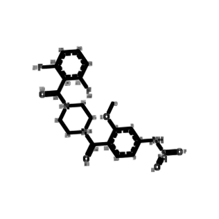 COc1cc(N[SH](=O)=O)ccc1C(=O)N1CCN(C(=O)c2c(F)cccc2F)CC1